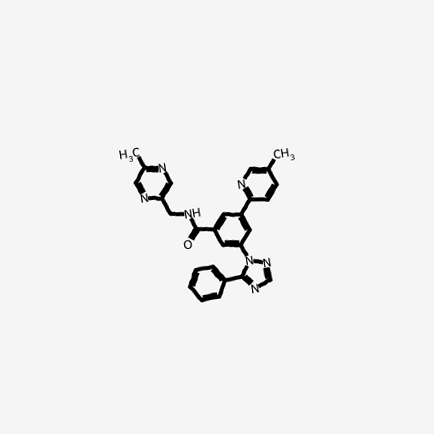 Cc1ccc(-c2cc(C(=O)NCc3cnc(C)cn3)cc(-n3ncnc3-c3ccccc3)c2)nc1